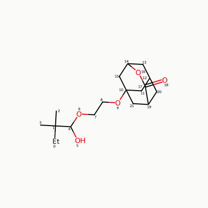 CCC(C)(C)C(O)OCCOC12CC3CC(C1)OC(=O)C(C3)C2